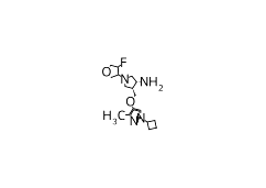 Cc1nn(C2CCC2)cc1OC[C@H]1CN(C2COCC2F)C[C@@H]1N